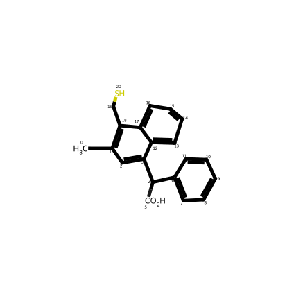 Cc1cc(C(C(=O)O)c2ccccc2)c2ccccc2c1CS